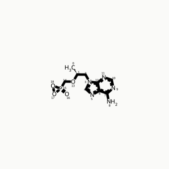 C[C@H](Cn1cnc2c(N)ncnc21)OCP1(=O)OO1